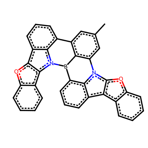 Cc1cc2c3c(c1)-n1c4oc5ccccc5c4c4cccc(c41)B3n1c3c-2cccc3c2oc3ccccc3c21